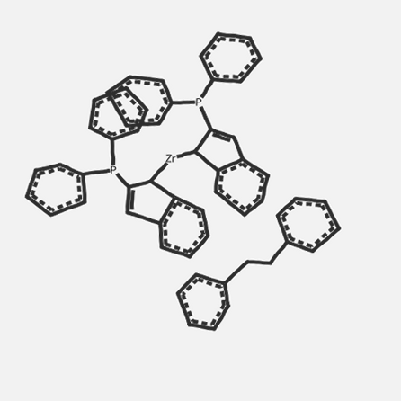 C1=C(P(c2ccccc2)c2ccccc2)[CH]([Zr][CH]2C(P(c3ccccc3)c3ccccc3)=Cc3ccccc32)c2ccccc21.c1ccc(CCc2ccccc2)cc1